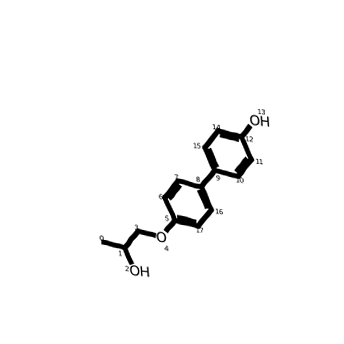 CC(O)COc1ccc(-c2ccc(O)cc2)cc1